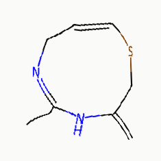 C=C1CS/C=C\C/N=C(/C)N1